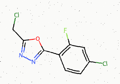 Fc1cc(Cl)ccc1-c1nnc(CCl)o1